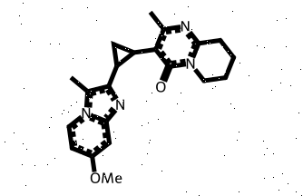 COc1ccn2c(C)c(C3CC3c3c(C)nc4n(c3=O)CCCC4)nc2c1